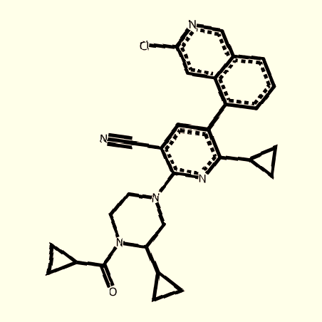 N#Cc1cc(-c2cccc3cnc(Cl)cc23)c(C2CC2)nc1N1CCN(C(=O)C2CC2)C(C2CC2)C1